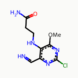 COc1nc(Cl)nc(C=N)c1NCCC(N)=O